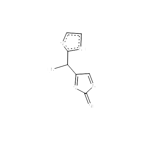 N=C1N=CC(C(N)c2ncc[nH]2)=N1